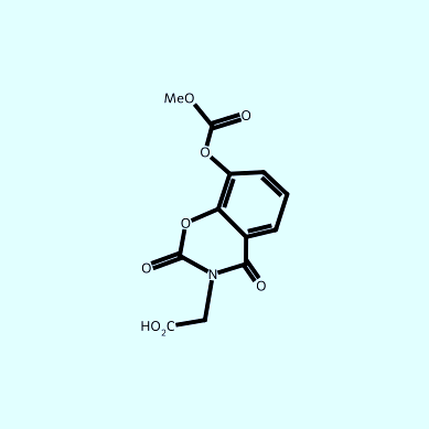 COC(=O)Oc1cccc2c(=O)n(CC(=O)O)c(=O)oc12